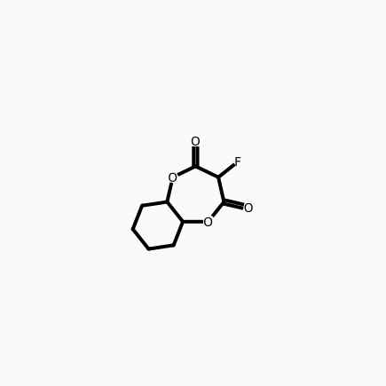 O=C1OC2CCCCC2OC(=O)C1F